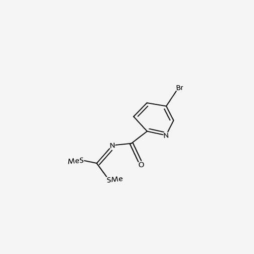 CSC(=NC(=O)c1ccc(Br)cn1)SC